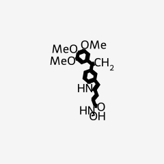 C=C(c1cc(OC)c(OC)c(OC)c1)c1ccc2[nH]c(/C=C/C(=O)NO)cc2c1